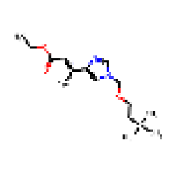 CCOC(=O)/C=C(\C)c1cn(COCC[Si](C)(C)C)cn1